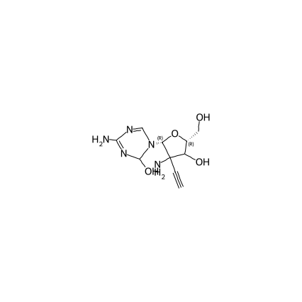 C#CC1(N)C(O)[C@@H](CO)O[C@H]1N1C=NC(N)=NC1O